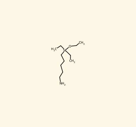 CCO[Si](CC)(CC)CCCCCN